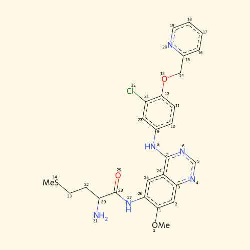 COc1cc2ncnc(Nc3ccc(OCc4ccccn4)c(Cl)c3)c2cc1NC(=O)C(N)CCSC